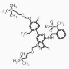 CCS(=O)(=O)N(C)c1ccccc1CNc1nc(-c2cc(F)c(OCOCC[Si](C)(C)C)cc2CC(F)(F)F)cc2c1c(I)nn2COCC[Si](C)(C)C